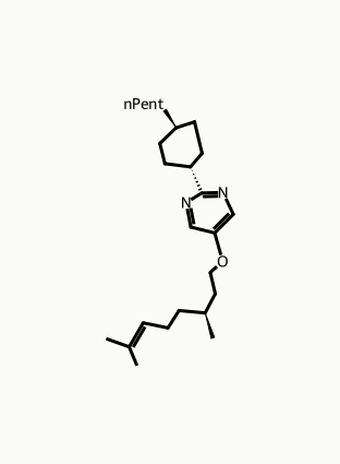 CCCCC[C@H]1CC[C@H](c2ncc(OCC[C@@H](C)CCC=C(C)C)cn2)CC1